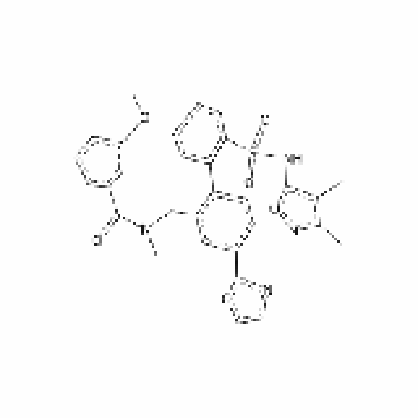 COc1cccc(C(=O)N(C)Cc2cc(-c3ncco3)ccc2-c2ccccc2S(=O)(=O)Nc2onc(C)c2C)c1